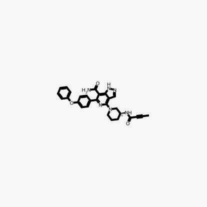 CC#CC(=O)N[C@H]1CCCN(c2nc(-c3ccc(Oc4ccccc4)cc3)c(C(N)=O)c3[nH]ncc23)C1